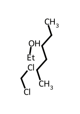 CCCCCC.CCO.ClCCl